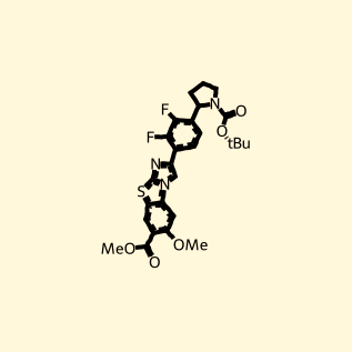 COC(=O)c1cc2sc3nc(-c4ccc(C5CCCN5C(=O)OC(C)(C)C)c(F)c4F)cn3c2cc1OC